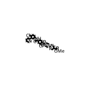 COC(=O)c1cnc(N2CCN(S(=O)(=O)c3ccc(C(=O)Nc4ccc(Cl)c(-c5ccccn5)c4)cc3Cl)CC2)nc1